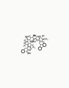 CC[C@H](C)[C@@H]([C@@H](CC(=O)N1[C@H]2C[C@H]2C[C@H]1[C@H](OC)[C@@H](C)C(=O)NC(Cc1ccccc1)C(=O)OC(C)(C)C)OC)N(C)C(=O)[C@@H](NC(=O)[C@H](C(C)C)N(C)C(=O)OCC1c2ccccc2-c2ccccc21)C(C)C